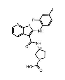 O=C(N[C@@H]1CCN(C(=O)O)C1)c1c(Nc2ccc(I)cc2F)sc2ncccc12